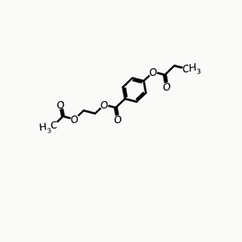 CCC(=O)Oc1ccc(C(=O)OCCOC(C)=O)cc1